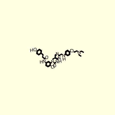 CCN(CC)CCOc1ccc(NCc2ncc3c(n2)NC(=O)N(c2cc(NC(=O)CCc4ccc(O)cc4)ccc2Cl)C3)cc1